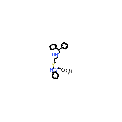 O=C(O)Cn1c(SCCCNCC(c2ccccc2)c2ccccc2)nc2ccccc21